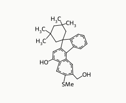 CSc1cc2c(O)cc3c(c2cc1CO)-c1ccccc1C31CC(C)(C)CC(C)(C)C1